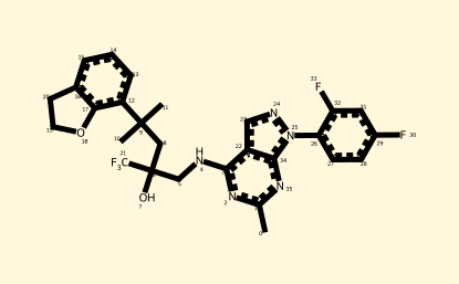 Cc1nc(NCC(O)(CC(C)(C)c2cccc3c2OCC3)C(F)(F)F)c2cnn(-c3ccc(F)cc3F)c2n1